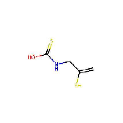 C=C(S)CNC(O)=S